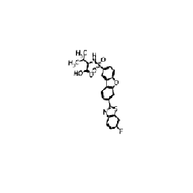 CC(C)[C@@H](NS(=O)(=O)c1ccc2oc3cc(-c4nc5ccc(F)cc5s4)ccc3c2c1)C(=O)O